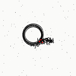 COC1CCCCCCCCCCCCCCCCCCCCCCCCCCCCCCCCCCCCCCCCCCCCCCCCC2(CC1)C(=O)C(Br)=C2N[C@@H](Cc1ccc(NC(=O)c2c(Cl)cncc2Cl)cc1)C(=O)O